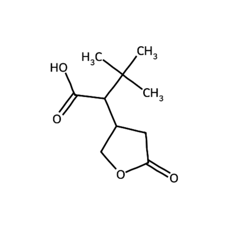 CC(C)(C)C(C(=O)O)C1COC(=O)C1